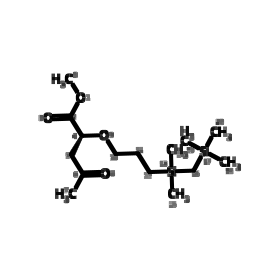 COC(=O)[C@H](CC(C)=O)OCCC[Si](C)(C)C[Si](C)(C)C